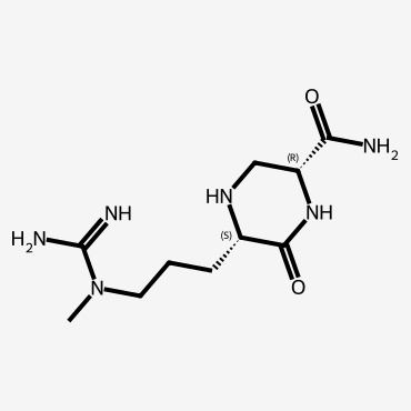 CN(CCC[C@@H]1NC[C@H](C(N)=O)NC1=O)C(=N)N